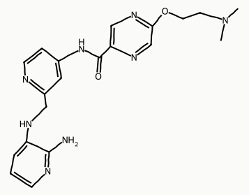 CN(C)CCOc1cnc(C(=O)Nc2ccnc(CNc3cccnc3N)c2)cn1